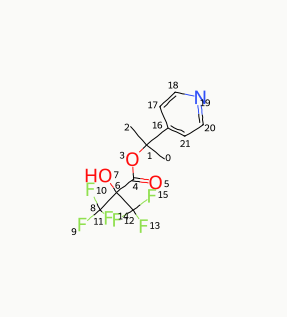 CC(C)(OC(=O)C(O)(C(F)(F)F)C(F)(F)F)c1ccncc1